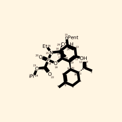 C=C(C)[C@@H]1CCC(C)=C[C@H]1c1c(O)cc(CCCCC)cc1OP(=O)(C(=O)OC(C)C)N(CC)[C@@H](C)C(=O)O